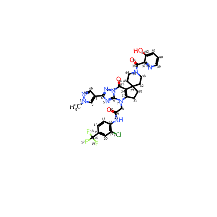 Cn1cc(-c2nc3n(CC(=O)Nc4ccc(C(F)(F)F)cc4Cl)c4c(c(=O)n3n2)C2(CC4)CCN(C(=O)c3ncccc3O)CC2)cn1